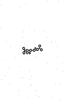 CC1(C)c2cc(-c3ccc4c(c3)C3(CC3)c3cccc5c(N(c6ccccc6)c6ccccc6)ccc-4c35)ccc2-c2ccc(C(c3ccccc3)c3ccccc3)cc21